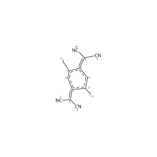 N#CC(C#N)=c1cc(I)c(=C(C#N)C#N)cc1I